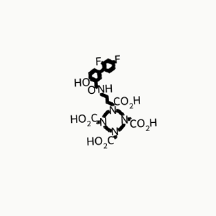 O=C(O)CN1CCN(CC(=O)O)CCN(C(CCCNC(=O)c2cc(-c3ccc(F)cc3F)ccc2O)C(=O)O)CCN(CC(=O)O)CC1